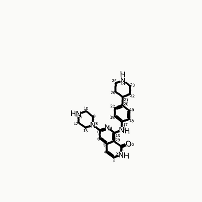 O=c1[nH]ccc2cc(N3CCNCC3)nc(Nc3ccc(C4CCNCC4)cc3)c12